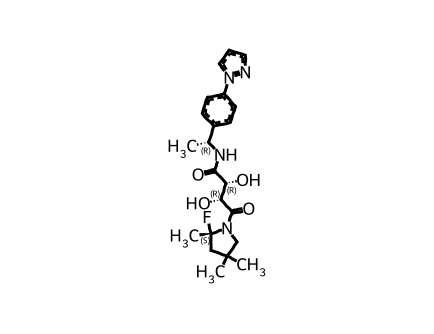 C[C@@H](NC(=O)[C@H](O)[C@@H](O)C(=O)N1CC(C)(C)C[C@]1(C)F)c1ccc(-n2cccn2)cc1